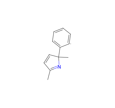 CC1=NC(C)(c2[c]cccc2)C=C1